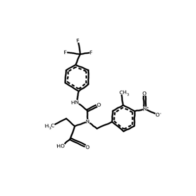 CCC(C(=O)O)N(Cc1ccc([N+](=O)[O-])c(C)c1)C(=O)Nc1ccc(C(F)(F)F)cc1